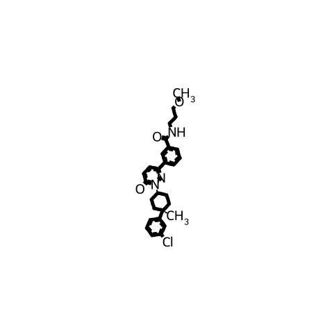 COCCCNC(=O)c1cccc(-c2ccc(=O)n([C@H]3CC[C@](C)(c4cccc(Cl)c4)CC3)n2)c1